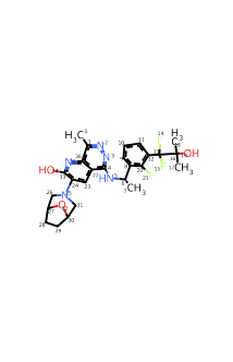 Cc1nnc(N[C@H](C)c2cccc(C(F)(F)C(C)(C)O)c2F)c2cc(N3CC4CCC(C3)O4)c(O)nc12